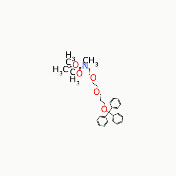 CN(CCOCCOCCCOC(c1ccccc1)(c1ccccc1)c1ccccc1)C(=O)OC(C)(C)C